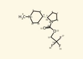 CN1CCC([C@@H]2CCCN2C(=O)OCC(F)(F)F)CC1